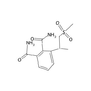 CC(CS(C)(=O)=O)c1cccc(C(N)=O)c1C(N)=O